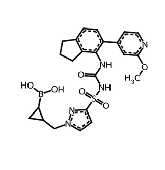 COc1cc(-c2ccc3c(c2NC(=O)NS(=O)(=O)c2ccn(CC4CC4B(O)O)n2)CCC3)ccn1